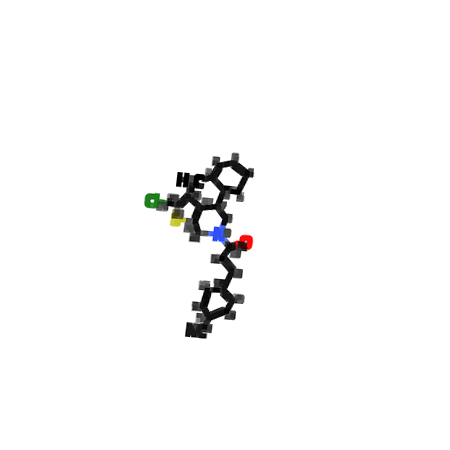 Cc1ccccc1C1CN(C(=O)/C=C/c2ccc(C#N)cc2)Cc2sc(Cl)cc21